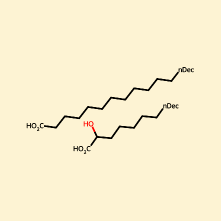 CCCCCCCCCCCCCCCC(O)C(=O)O.CCCCCCCCCCCCCCCCCCCCCC(=O)O